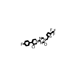 O=c1nc(N2CC=C(c3ccc(F)cc3)C(Cl)C2)ncn1Cc1ccc(C(F)(F)F)s1